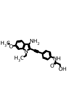 CCn1c(C#Cc2ccc(NC(=O)CO)cc2)c(N)c2ccc(OC)cc21